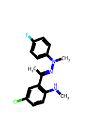 CNc1ccc(Cl)cc1/C(C)=N/N(C)c1ccc(F)cc1